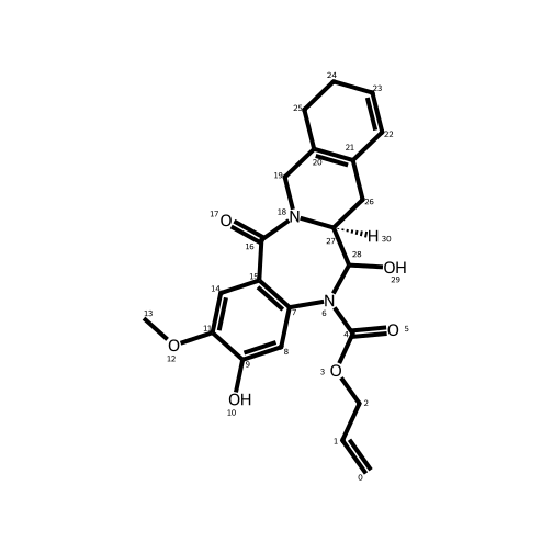 C=CCOC(=O)N1c2cc(O)c(OC)cc2C(=O)N2CC3=C(C=CCC3)C[C@H]2C1O